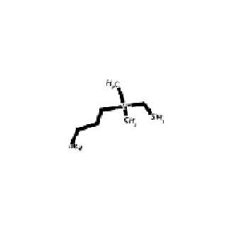 CCCCCCC[N+](C)(C)C[SiH3]